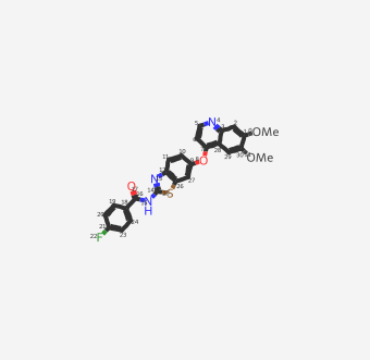 COc1cc2nccc(Oc3ccc4nc(NC(=O)c5ccc(F)cc5)sc4c3)c2cc1OC